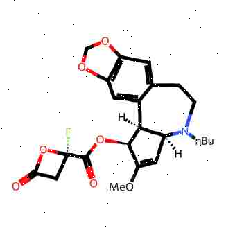 CCCCN1CCc2cc3c(cc2[C@@H]2[C@H](OC(=O)[C@@]4(F)CC(=O)O4)C(OC)=C[C@@H]21)OCO3